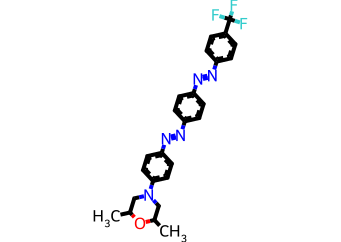 CC1CN(c2ccc(N=Nc3ccc(N=Nc4ccc(C(F)(F)F)cc4)cc3)cc2)CC(C)O1